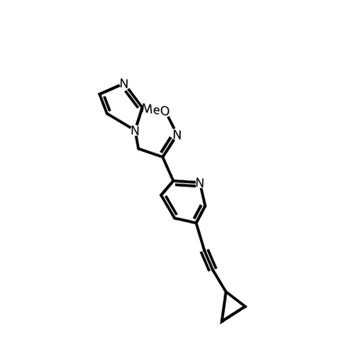 CO/N=C(\Cn1ccnc1)c1ccc(C#CC2CC2)cn1